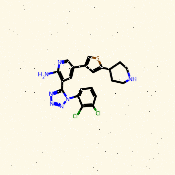 Nc1ncc(-c2csc(C3CCNCC3)c2)cc1-c1nnnn1-c1cccc(Cl)c1Cl